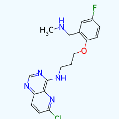 CNCc1cc(F)ccc1OCCCNc1ncnc2ccc(Cl)nc12